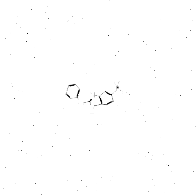 O=[N+]([O-])c1ccc2[nH]c(Oc3ccccc3)nc2c1